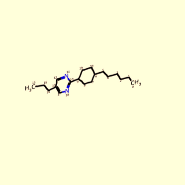 CCCCCCC1CCC(c2ncc(CCC)cn2)CC1